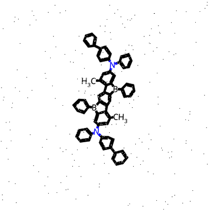 Cc1cc(N(c2ccccc2)c2ccc(-c3ccccc3)cc2)cc2c1-c1cc3c(cc1B2c1ccccc1)-c1c(C)cc(N(c2ccccc2)c2ccc(-c4ccccc4)cc2)cc1B3c1ccccc1